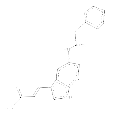 NC(=O)/C=C/c1c[nH]c2ncc(NC(=O)Cc3ccccc3)cc12